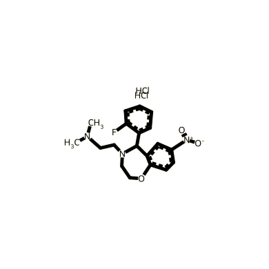 CN(C)CCN1CCOc2ccc([N+](=O)[O-])cc2C1c1ccccc1F.Cl.Cl